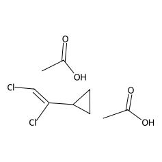 CC(=O)O.CC(=O)O.ClC=C(Cl)C1CC1